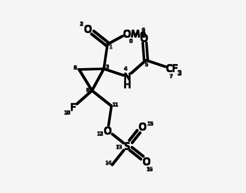 COC(=O)C1(NC(=O)C(F)(F)F)CC1(F)COS(C)(=O)=O